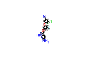 N#Cc1cc(Cl)cc(Oc2cc(OCc3n[nH]c4nc(N)ccc34)cc(F)c2Cl)c1